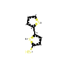 Sc1ccc(-c2cccs2)s1